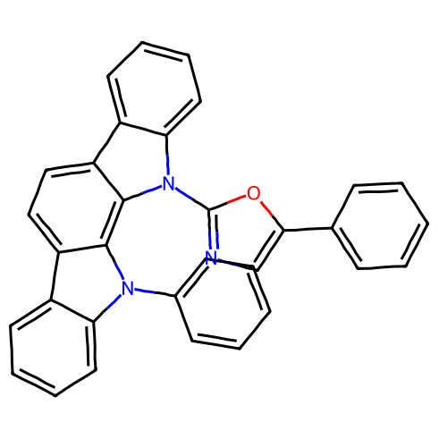 c1ccc(-c2cnc(-n3c4ccccc4c4ccc5c6ccccc6n(-c6ccccc6)c5c43)o2)cc1